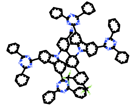 N#Cc1ccc(-n2c3ccc(-c4nc(-c5ccccc5)nc(-c5ccccc5)n4)cc3c3cc(-c4nc(-c5ccccc5)nc(-c5ccccc5)n4)ccc32)c(-c2ccc(-c3ccc(C(F)(F)F)cc3C(F)(F)F)cc2-n2c3ccc(-c4nc(-c5ccccc5)nc(-c5ccccc5)n4)cc3c3cc(-c4nc(-c5ccccc5)nc(-c5ccccc5)n4)ccc32)c1